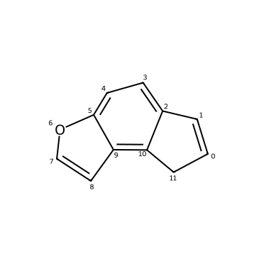 C1=Cc2ccc3occc3c2C1